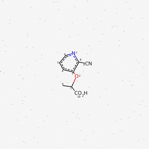 CC(Oc1cccnc1C#N)C(=O)O